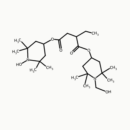 CCC(CC(=O)OC1CC(C)(C)N(O)C(C)(C)C1)C(=O)OC1CC(C)(C)N(CO)C(C)(C)C1